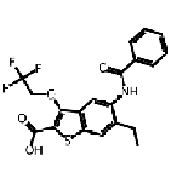 CCc1cc2sc(C(=O)O)c(OCC(F)(F)F)c2cc1NC(=O)c1ccccc1